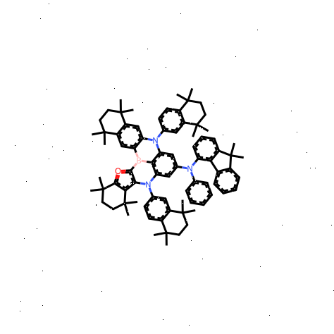 CC1(C)CCC(C)(C)c2cc(N3c4cc5c(cc4B4c6oc7c(c6N(c6ccc8c(c6)C(C)(C)CCC8(C)C)c6cc(N(c8ccccc8)c8cccc9c8-c8ccccc8C9(C)C)cc3c64)C(C)(C)CCC7(C)C)C(C)(C)CCC5(C)C)ccc21